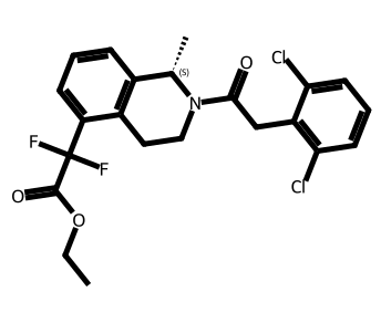 CCOC(=O)C(F)(F)c1cccc2c1CCN(C(=O)Cc1c(Cl)cccc1Cl)[C@H]2C